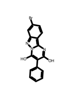 Oc1nc2c3ccc(Br)cc3nn2c(O)c1-c1ccccc1